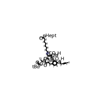 CC#CCOc1ccc(CC(NC(=O)[C@@H](/C=C/CCCCCCC(=O)CCCCCCC)[C@@](O)(CC(=O)O)C(=O)O)C(=O)OC(C)OC(=O)C(C)(C)C)cc1